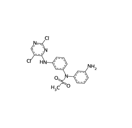 CS(=O)(=O)N(c1cccc(N)c1)c1cccc(Nc2nc(Cl)ncc2Cl)c1